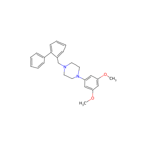 COc1cc(OC)cc(N2CCN(Cc3ccccc3-c3ccccc3)CC2)c1